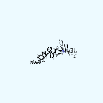 C=C(N)N/N=C(\C)c1ccc(NC(=O)c2nc3ccc(OC)cc3s2)cc1